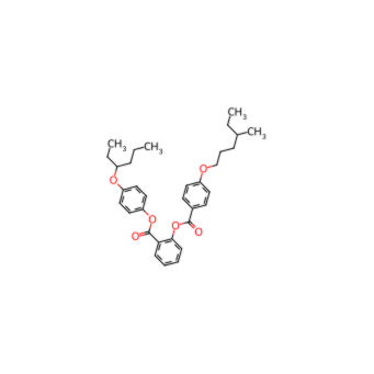 CCCC(CC)Oc1ccc(OC(=O)c2ccccc2OC(=O)c2ccc(OCCCC(C)CC)cc2)cc1